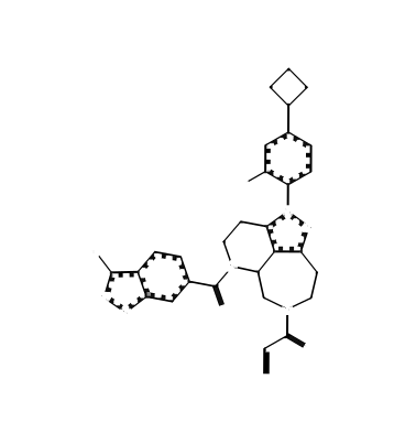 C=CC(=O)N1CCc2nn(-c3ccc(C4CCC4)cc3O)c3c2C(C1)N(C(=O)c1ccc2c(Br)n[nH]c2c1)CC3